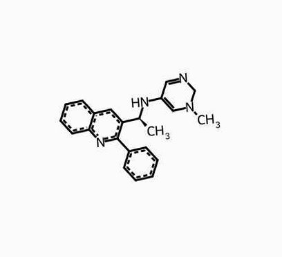 C[C@H](NC1=CN(C)CN=C1)c1cc2ccccc2nc1-c1ccccc1